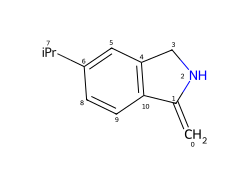 C=C1NCc2cc(C(C)C)ccc21